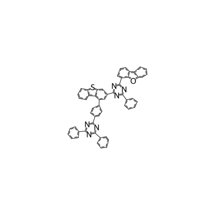 c1ccc(-c2nc(-c3ccccc3)nc(-c3ccc(-c4cc(-c5nc(-c6ccccc6)nc(-c6cccc7c6oc6ccccc67)n5)cc5sc6ccccc6c45)cc3)n2)cc1